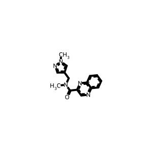 CN(Cc1cnn(C)c1)C(=O)c1cnc2ccccc2n1